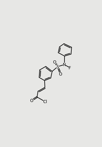 O=C(Cl)C=Cc1cccc(S(=O)(=O)N(F)c2ccccc2)c1